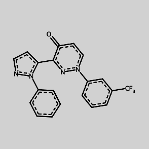 O=c1ccn(-c2cccc(C(F)(F)F)c2)nc1-c1ccnn1-c1ccccc1